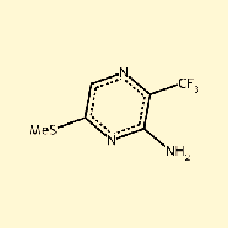 CSc1cnc(C(F)(F)F)c(N)n1